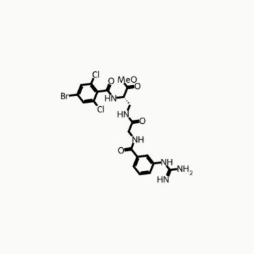 COC(=O)[C@H](CNC(=O)CNC(=O)c1cccc(NC(=N)N)c1)NC(=O)c1c(Cl)cc(Br)cc1Cl